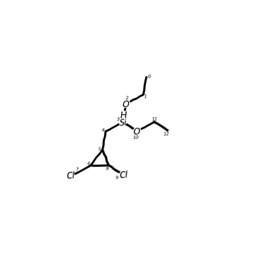 CCO[SiH](CC1C(Cl)C1Cl)OCC